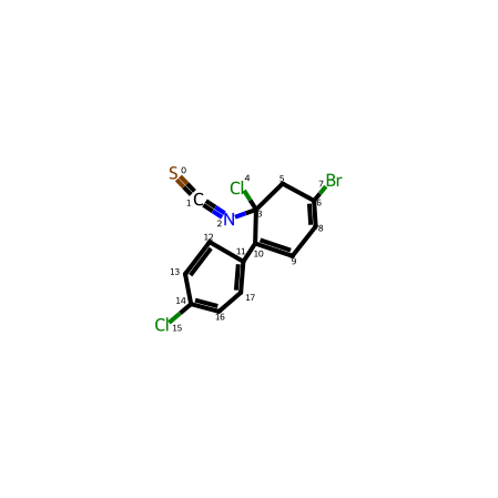 S=C=NC1(Cl)CC(Br)=CC=C1c1ccc(Cl)cc1